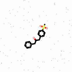 CS(=O)(=O)c1ccc(CC(=O)Cc2cc[c]cc2)cc1